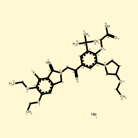 Br.CCOc1cc2c(c(F)c1OCC)C(=N)N(CC(=O)c1cc(N3CCC(OCC)C3)c(OCC(=O)O)c(C(C)(C)C)c1)C2